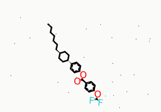 CCCCCCC[C@H]1CC[C@H](c2ccc(OC(=O)c3ccc(OC(F)F)cc3)cc2)CC1